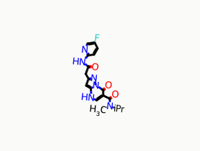 CC(C)N(C)C(=O)c1c[nH]c2cc(CC(=O)Nc3ccc(F)cn3)nn2c1=O